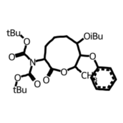 CC(C)COC1CCCC(N(C(=O)OC(C)(C)C)C(=O)OC(C)(C)C)C(=O)OC(C)C1Oc1ccccc1